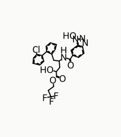 O=C(NC(Cc1ccccc1-c1ccccc1Cl)CC(O)C(=O)OCCC(F)(F)F)c1ccc2nnn(O)c2c1